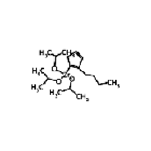 CCCCC1=[C]([Zr]([O]C(C)C)([O]C(C)C)[O]C(C)C)CC=C1